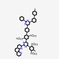 CCCCCCCCc1cc(-c2cc(-c3cc(CCCCCCCC)c(-c4ccc(-c5cc(-c6cccc(-c7ccc(C)cc7)c6)nc(-c6ccccc6)n5)cc4)cc3CCCCCCCC)nc(-c3ccc4ccc5cccnc5c4n3)n2)c(CCCCCCCC)cc1C